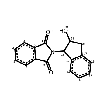 O=C1c2ccccc2C(=O)N1C1c2ccccc2CC1O